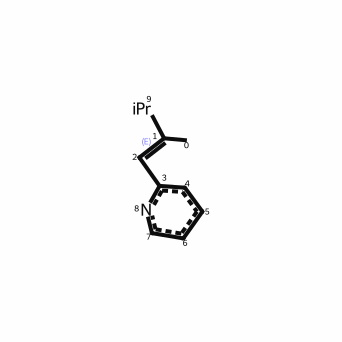 C/C(=C\c1ccccn1)C(C)C